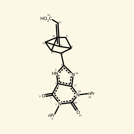 CCCn1c(=O)c2[nH]c(C3C4CC5C(/C4=C\C(=O)O)C53)nc2n(CCC)c1=O